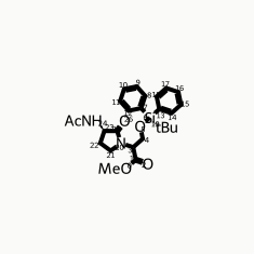 COC(=O)C(CO[Si](c1ccccc1)(c1ccccc1)C(C)(C)C)N1CC[C@H](NC(C)=O)C1=O